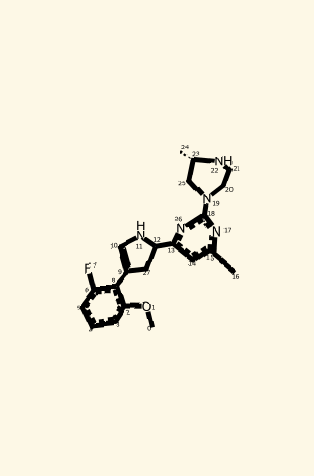 COc1cccc(F)c1C1=CNC(c2cc(C)nc(N3CCN[C@@H](C)C3)n2)C1